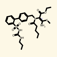 CCCCC(=O)N(Cc1ccc(-c2ccccc2S(=O)(=O)NC(=O)NCCC)cc1)/C(C(=O)OCC)=C(\N)SC